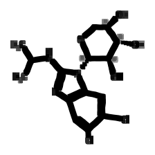 CC(C)Nc1nc2cc(Cl)c(Cl)cc2n1[C@@H]1OC[C@@H](O)[C@H](O)[C@H]1O